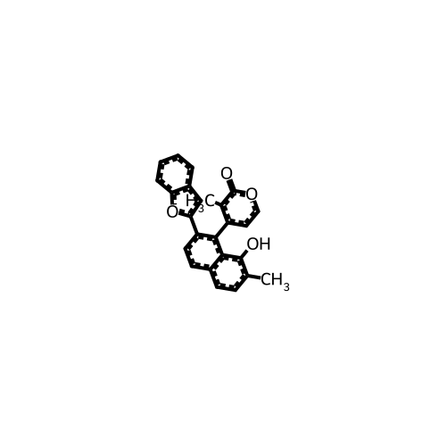 Cc1ccc2ccc(-c3cc4ccccc4o3)c(-c3ccoc(=O)c3C)c2c1O